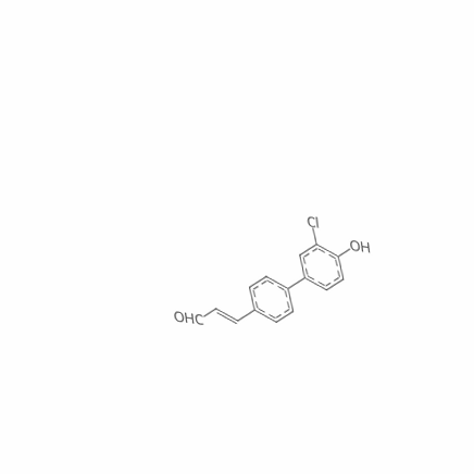 O=C/C=C/c1ccc(-c2ccc(O)c(Cl)c2)cc1